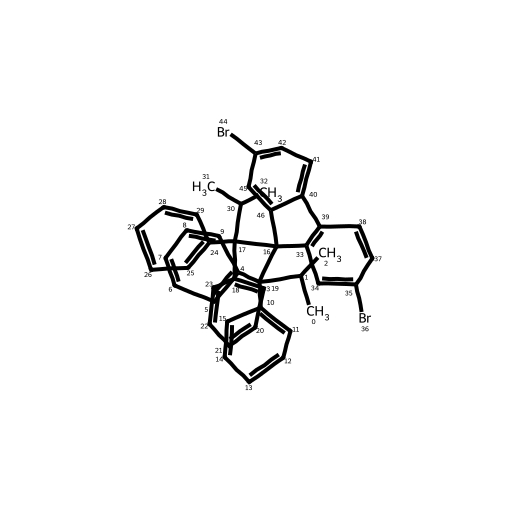 CC(C)C(c1ccccc1)(c1ccccc1)C1(C(c2ccccc2)(c2ccccc2)C(C)C)c2cc(Br)ccc2-c2ccc(Br)cc21